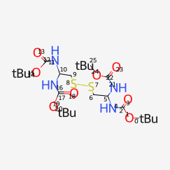 CC(C)(C)OC(=O)NC(CSSCC(NC(=O)OC(C)(C)C)NC(=O)OC(C)(C)C)NC(=O)OC(C)(C)C